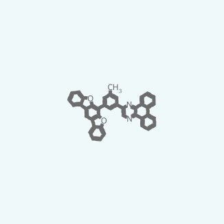 Cc1cc(-c2cnc3c4ccccc4c4ccccc4c3n2)cc(-c2c3oc4ccccc4c3cc3c2oc2ccccc23)c1